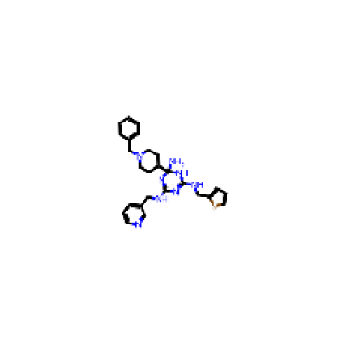 NC1(C2CCN(Cc3ccccc3)CC2)N=C(NCc2cccnc2)N=C(NCc2cccs2)N1